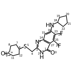 O=c1[nH]c(CSC2CC[S+]([O-])CC2)nc2cc(NC3CCCC3)c(F)c(F)c12